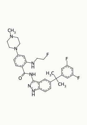 CN1CCN(c2ccc(C(=O)Nc3n[nH]c4ccc(C(C)(C)c5cc(F)cc(F)c5)cc34)c(NCCF)c2)CC1